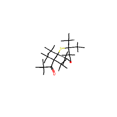 CC(C)(C)C(=O)C(C(C)(C)C)(C(C)(C)C)C(SC(C(C)(C)C)(C(C)(C)C)C(C)(C)C)(C(C)(C)C)C(C)(C)C